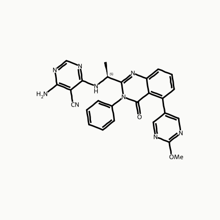 COc1ncc(-c2cccc3nc([C@H](C)Nc4ncnc(N)c4C#N)n(-c4ccccc4)c(=O)c23)cn1